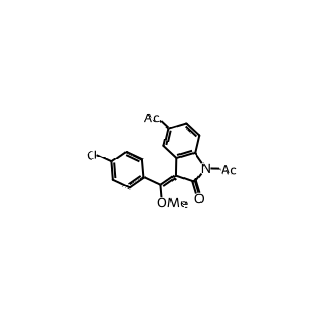 CO/C(=C1\C(=O)N(C(C)=O)c2ccc(C(C)=O)cc21)c1ccc(Cl)cc1